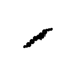 CCCCCC1CCC(c2ccc(OCc3ccc(C4CCC(C5CCC(CCC)CC5)CC4)cc3)c(F)c2F)CC1